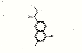 COC(=O)c1cnc2c(Br)cc(C)cc2c1